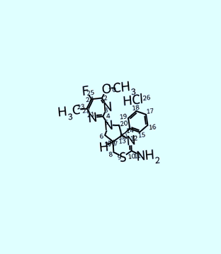 COc1nc(N2C[C@H]3CSC(N)=N[C@@]3(c3ccccc3)C2)nc(C)c1F.Cl